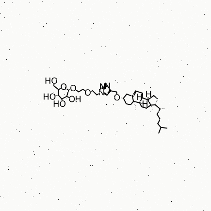 CC(C)CCC[C@@H](C)[C@H]1CC[C@H]2[C@@H]3CC=C4C[C@@H](OCc5cn(CCOCCO[C@H]6OC(CO)[C@@H](O)C(O)C6O)nn5)CC[C@]4(C)[C@H]3CC[C@]12C